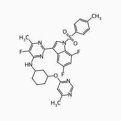 Cc1ccc(S(=O)(=O)n2cc(-c3nc(C)c(F)c(NC4CCCC(Oc5cc(C)ncn5)C4)n3)c3cc(F)cc(F)c32)cc1